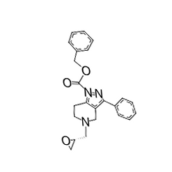 O=C(OCc1ccccc1)n1nc(-c2ccccc2)c2c1CCN(C[C@@H]1CO1)C2